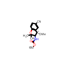 CO[C@H]1c2cc(C#N)ccc2OC(C)(C)[C@@H]1NC(=O)OC(C)(C)C